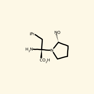 CC(C)C[C@](N)(C(=O)O)N1CCC[C@H]1N=O